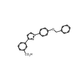 O=C(O)c1cccc(-c2ccn(-c3ccc(OCc4ccccc4)cc3)n2)c1